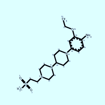 CS(=O)(=O)CCN1CCN(C2CCN(c3ccc(N)c(OCC(F)(F)F)c3)CC2)CC1